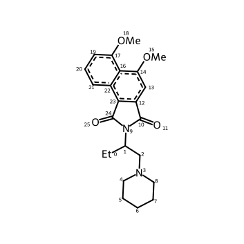 CCC(CN1CCCCC1)N1C(=O)c2cc(OC)c3c(OC)cccc3c2C1=O